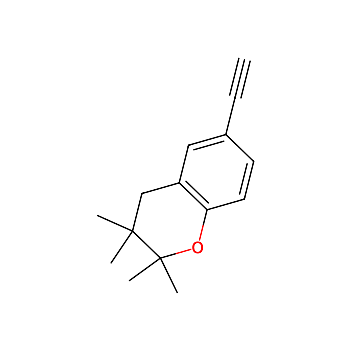 C#Cc1ccc2c(c1)CC(C)(C)C(C)(C)O2